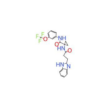 O=C(CCc1nc2ccccc2[nH]1)NC1(C(=O)Nc2cccc(OC(F)(F)F)c2)CC1